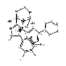 Cn1nc2c(c1-c1cc(F)c(F)c(F)c1)C[C@@H]1CCC[C@H]2N1C(=O)c1cncc(N2CCOCC2)c1